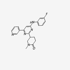 CN1CC(c2nc(Nc3cccc(F)c3)cc(-c3cccnc3)n2)CCC1=O